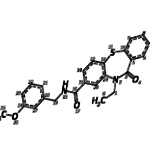 CCN1C(=O)c2ccccc2Sc2ccc(C(=O)NCc3cccc(OC)c3)cc21